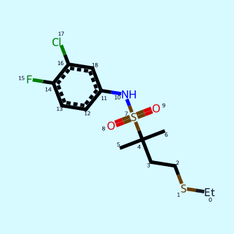 CCSCCC(C)(C)S(=O)(=O)Nc1ccc(F)c(Cl)c1